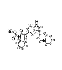 CCC(C)OC(=O)N(C(=O)Nc1ccc2[nH]cc(C3CCN4CCCCC4C3)c2c1)c1ccccc1